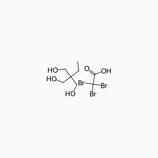 CCC(CO)(CO)CO.O=C(O)C(Br)(Br)Br